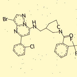 O=C(c1ccccc1C(F)(F)F)N1CCCC(CNc2cc(-c3ccccc3Cl)nc3c(Br)cnn23)C1